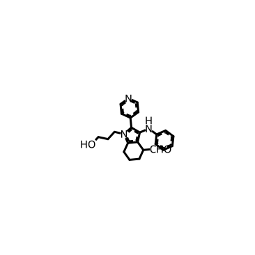 O=CC1CCCc2c1c(Nc1ccccc1)c(-c1ccncc1)n2CCCO